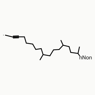 [CH2]C#CCCCCCC(C)CCCC(C)CCC(C)CCCCCCCC[CH2]